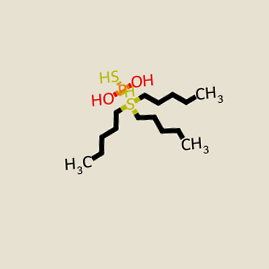 CCCCC[SH](CCCCC)(CCCCC)=P(O)(O)S